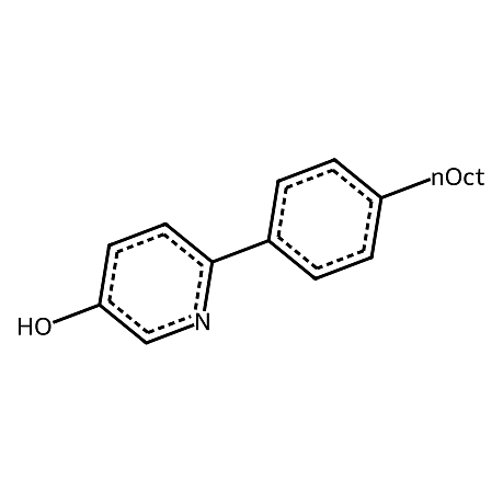 CCCCCCCCc1ccc(-c2ccc(O)cn2)cc1